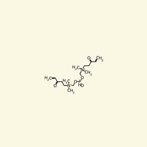 C=CC(=O)CC[N+](C)(C)CO[PH](=O)OC[N+](C)(C)CCC(=O)C=C